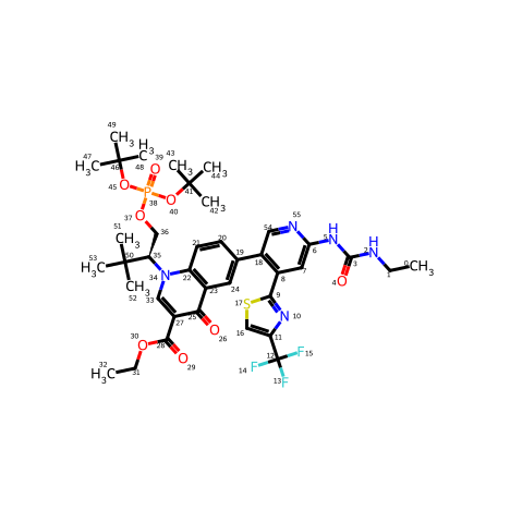 CCNC(=O)Nc1cc(-c2nc(C(F)(F)F)cs2)c(-c2ccc3c(c2)c(=O)c(C(=O)OCC)cn3[C@H](COP(=O)(OC(C)(C)C)OC(C)(C)C)C(C)(C)C)cn1